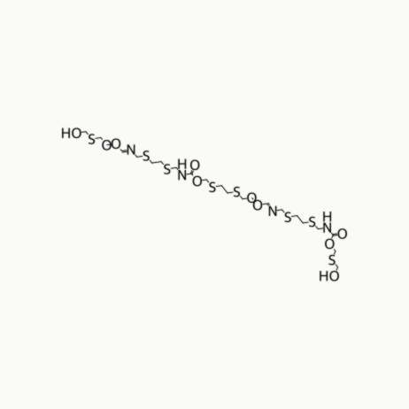 O=C(NCSCCSC/N=C/OOCSCCSCOC(=O)NCSCCSC/N=C/OOCSCO)OCSCO